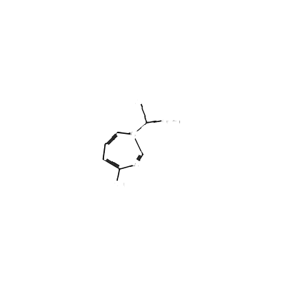 CCCCCC(C)N1C=CC=C(N)N=C1